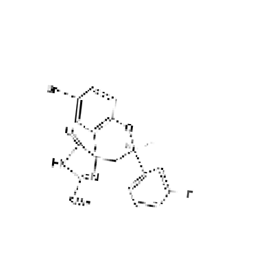 CSC1=NC2(C[C@](C)(c3cccc(F)c3)Oc3ccc(Br)cc32)C(=O)N1